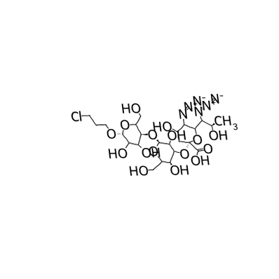 C[C@@H](O)C(N=[N+]=[N-])C1O[C@@](OC2C(O)[C@H](O[C@@H]3C(CO)O[C@@H](OCCCCl)C(O)C3O)OC(CO)[C@@H]2O)(C(=O)O)CC(O)C1N=[N+]=[N-]